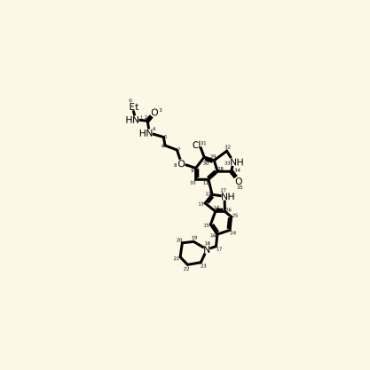 CCNC(=O)NCCCOc1cc(-c2cc3cc(CN4CCCCC4)ccc3[nH]2)c2c(c1Cl)CNC2=O